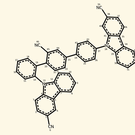 N#Cc1ccc2c(c1)c1ccccc1n2-c1ccccc1-c1ccc(-c2ccc(-n3c4ccccc4c4ccc(C#N)cc43)cc2)cc1C#N